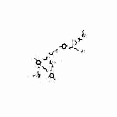 CCc1cn(CC(=O)C[C@H](C(=O)N[C@@H](CCCNC(N)=O)C(=O)Nc2ccc(COC(=O)NCCC(=O)NCCCOc3cc(C(N)=O)cc4nc(NC(=O)c5cc(C)nn5CC)n(C/C=C/Cn5c(NC(=O)c6cc(C)nn6CC)nc6cc(C(N)=O)cc(OC)c65)c34)cc2)C(C)C)nn1